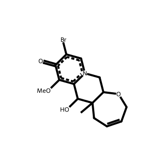 COc1c2n(cc(Br)c1=O)CC1OCC=CCC1(C)C2O